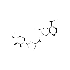 CCN1CCN(C(O)N[C@H](CO)C(=O)N[C@H]2Cc3cccc(C(=O)O)c3OB2O)C(=O)C1=O